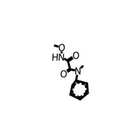 CONC(=O)C(=O)N(C)c1ccccc1